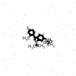 Cc1cc(F)ccc1-c1cn(C(C)C)c2cc(NS(C)(=O)=O)ccc12